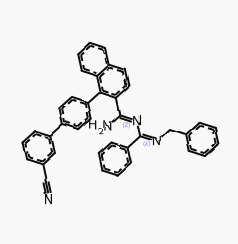 N#Cc1cccc(-c2ccc(-c3c(/C(N)=N/C(=N\Cc4ccccc4)c4ccccc4)ccc4ccccc34)cc2)c1